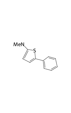 CNc1ccc(-c2ccccc2)s1